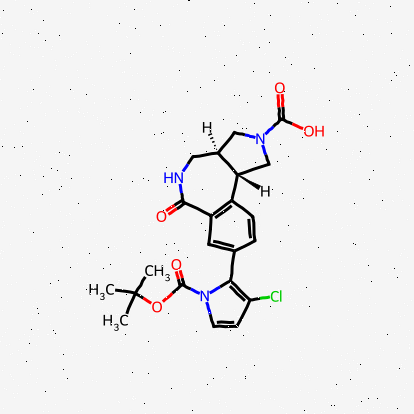 CC(C)(C)OC(=O)n1ccc(Cl)c1-c1ccc2c(c1)C(=O)NC[C@H]1CN(C(=O)O)C[C@H]21